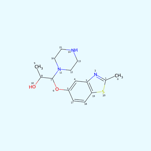 Cc1nc2cc(OC(C(C)O)N3CCNCC3)ccc2s1